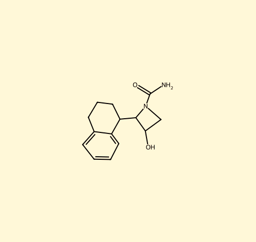 NC(=O)N1CC(O)C1C1CCCc2ccccc21